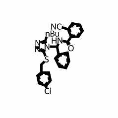 CCCCc1nnc(SCc2ccc(Cl)cc2)n1C(NC(=O)c1ccccc1C#N)c1ccccc1